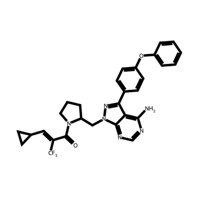 Nc1ncnc2c1c(-c1ccc(Oc3ccccc3)cc1)nn2CC1CCCN1C(=O)C(=CC1CC1)C(F)(F)F